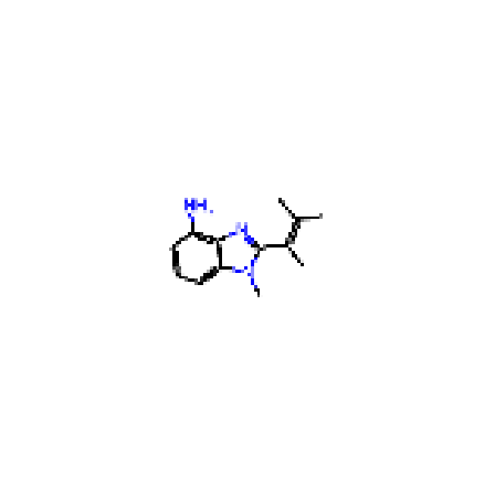 CC(C)=C(C)c1nc2c(N)cccc2n1C